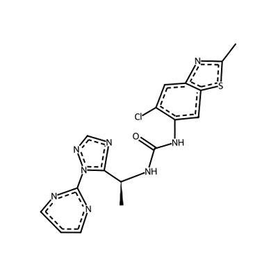 Cc1nc2cc(Cl)c(NC(=O)N[C@@H](C)c3ncnn3-c3ncccn3)cc2s1